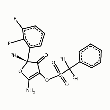 [2H]C([2H])(c1ccccc1)S(=O)(=O)OC1=C(N)O[C@]([2H])(c2cccc(F)c2F)C1=O